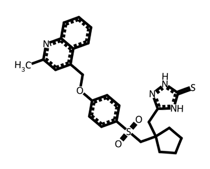 Cc1cc(COc2ccc(S(=O)(=O)CC3(Cc4n[nH]c(=S)[nH]4)CCCC3)cc2)c2ccccc2n1